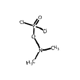 CN(C)OP(=O)(Cl)Cl